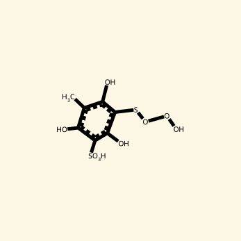 Cc1c(O)c(SOOO)c(O)c(S(=O)(=O)O)c1O